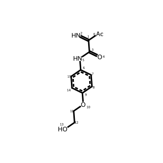 CC(=O)C(=N)C(=O)Nc1ccc(OCCO)cc1